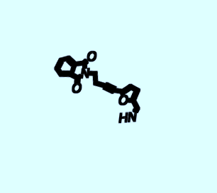 N=Cc1ccc(C#CCCN2C(=O)c3ccccc3C2=O)o1